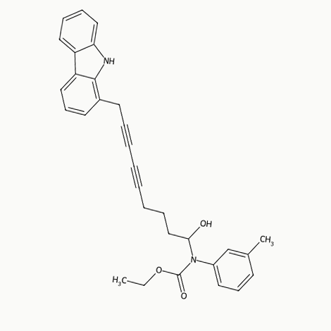 CCOC(=O)N(c1cccc(C)c1)C(O)CCCC#CC#CCc1cccc2c1[nH]c1ccccc12